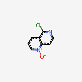 [O-][n+]1cccc2c(Cl)nccc21